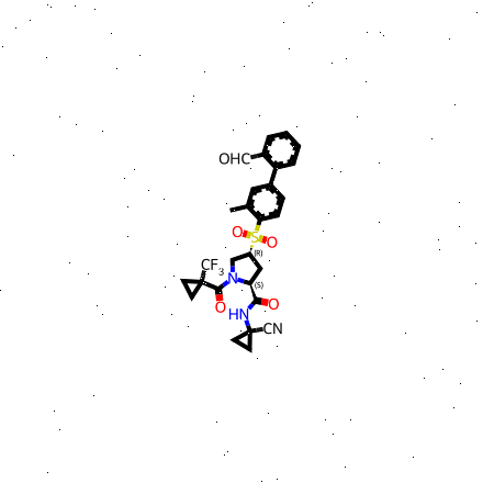 Cc1cc(-c2ccccc2C=O)ccc1S(=O)(=O)[C@@H]1C[C@@H](C(=O)NC2(C#N)CC2)N(C(=O)C2(C(F)(F)F)CC2)C1